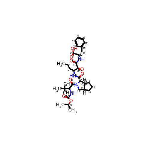 CCCC(NC(=O)[C@@H]1[C@H]2CCC[C@H]2CN1C(=O)[C@@H](NC(=O)OC(C)C)C(C)(C)C)C(=O)C(=O)N[C@@H](Cc1ccccc1)C(=O)O